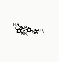 Cc1cn(-c2ccc(S(=O)(=O)c3cn(C)c4c(F)ccc(C)c34)c(C)c2)cn1